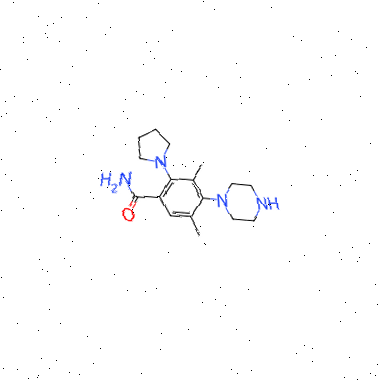 Cc1cc(C(N)=O)c(N2CCCC2)c(C)c1N1CCNCC1